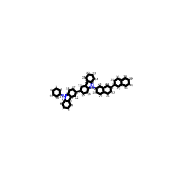 c1ccc(-n2c3ccccc3c3cc(-c4ccc5c(c4)c4ccccc4n5-c4ccc5ccc(-c6ccc7ccccc7c6)cc5c4)ccc32)cc1